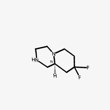 FC1(F)CCN2CCNC[C@@H]2C1